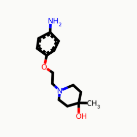 CC1(O)CCN(CCOc2ccc(N)cc2)CC1